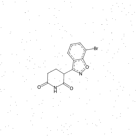 O=C1CCC(c2noc3c(Br)cccc23)C(=O)N1